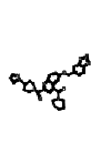 O=C(c1cc(C(=O)N2CCCCC2)c2cc(OCc3ccc4nnsc4c3)ccc2n1)N1CCC(n2cccn2)CC1